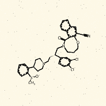 C[S@+]([O-])c1ccccc1C1CCN(CC[C@H](CN2CCCOc3c(C#N)cc4ccccc4c3C2=O)c2ccc(Cl)c(Cl)c2)CC1